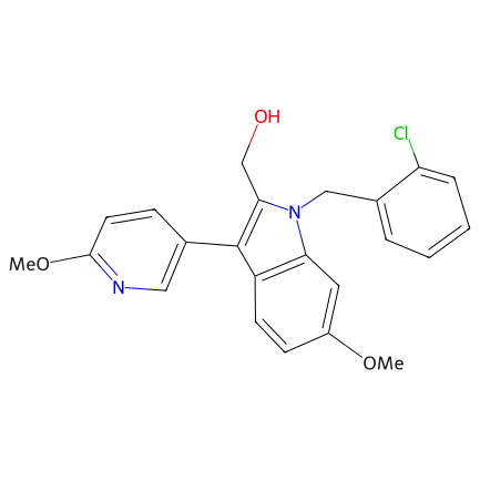 COc1ccc2c(-c3ccc(OC)nc3)c(CO)n(Cc3ccccc3Cl)c2c1